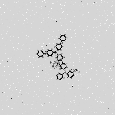 Cc1cccc(N(c2ccccc2)c2ccc3c(c2)C(C)(C)c2cc(N(c4ccc(-c5ccccc5)cc4)c4ccc(-c5ccccc5)cc4)ccc2-3)c1